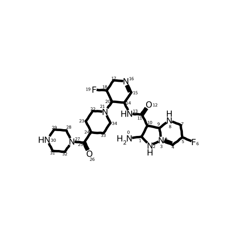 NC1N[N+]2=CC(F)CNC2C1C(=O)NC1C=NCC(F)C1N1CCC(C(=O)N2CCNCC2)CC1